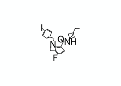 CCC12CC(NC(=O)c3ccc(F)c4ccn(Cc5ccc(I)cc5)c34)(C1)C2